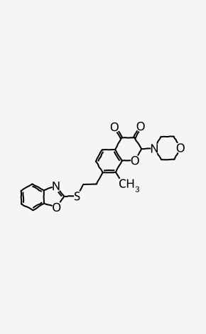 Cc1c(CCSc2nc3ccccc3o2)ccc2c1OC(N1CCOCC1)C(=O)C2=O